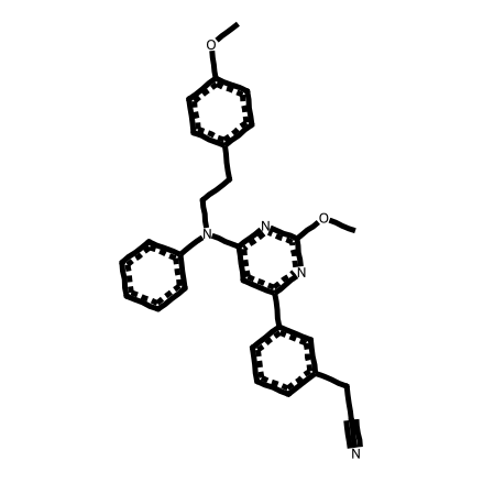 COc1ccc(CCN(c2ccccc2)c2cc(-c3cccc(CC#N)c3)nc(OC)n2)cc1